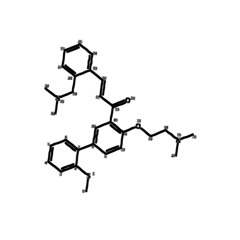 CSc1ccccc1-c1ccc(OCCN(C)C)c(C(=O)C=Cc2ccccc2CN(C)C)c1